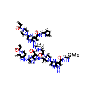 C=CC(=O)N1CCC(Nc2cnc3[nH]cc(C(=O)NCC(C)(C)C)c3n2)CC1C.C=CC(=O)N1CCN(c2cnc3[nH]cc(C(=O)NCC4CCCC4)c3n2)CC1.C=CC(=O)N1CCN(c2cnc3[nH]cc(C(=O)NCCOC)c3n2)CC1(C)C